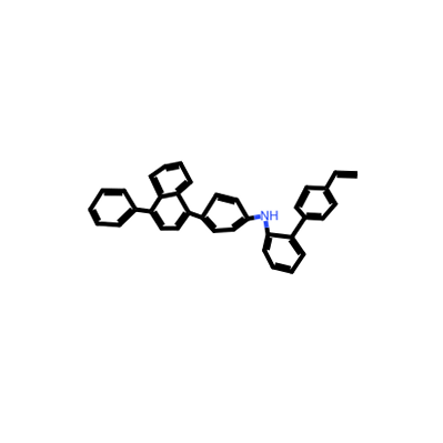 C=Cc1ccc(-c2ccccc2Nc2ccc(-c3ccc(-c4ccccc4)c4ccccc34)cc2)cc1